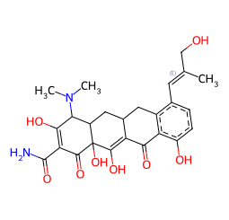 C/C(=C\c1ccc(O)c2c1CC1CC3C(N(C)C)C(O)=C(C(N)=O)C(=O)C3(O)C(O)=C1C2=O)CO